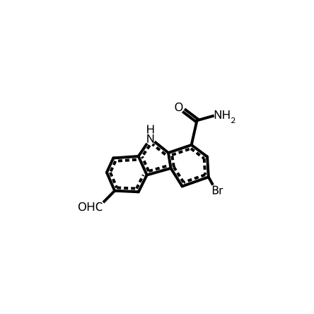 NC(=O)c1cc(Br)cc2c1[nH]c1ccc(C=O)cc12